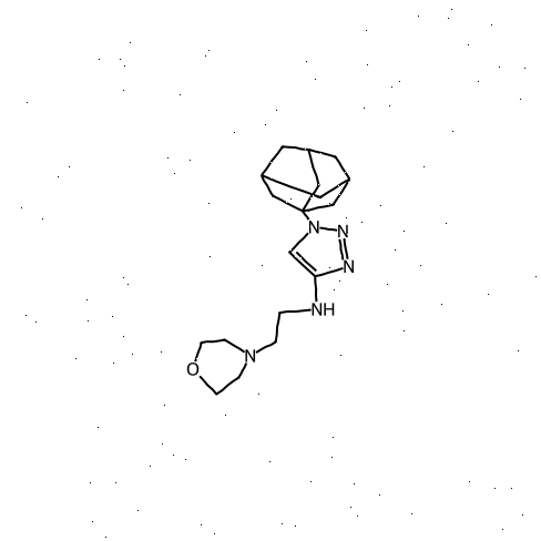 c1c(NCCN2CCOCC2)nnn1C12CC3CC(CC(C3)C1)C2